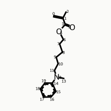 C=C(C)C(=O)OCCCCCCN(C)c1ccccc1